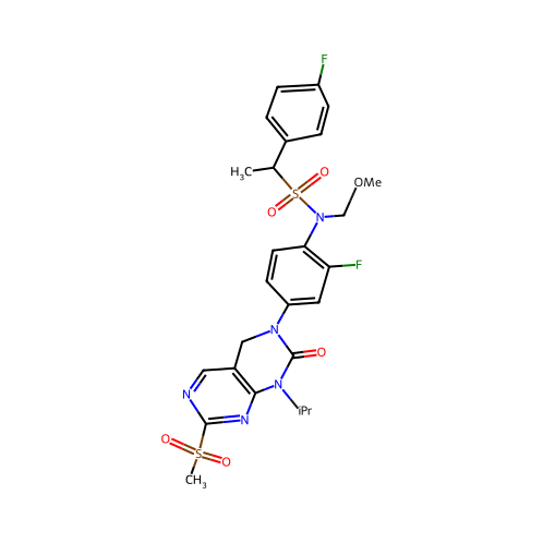 COCN(c1ccc(N2Cc3cnc(S(C)(=O)=O)nc3N(C(C)C)C2=O)cc1F)S(=O)(=O)C(C)c1ccc(F)cc1